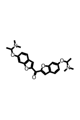 CC(Oc1ccc2cc(C(=O)c3cc4ccc(OC(C)N(C)C)cc4o3)oc2c1)N(C)C